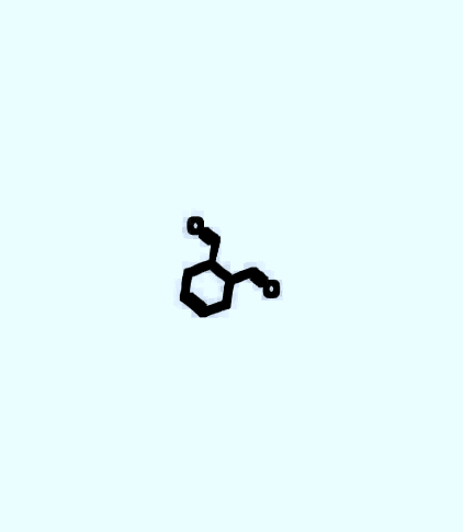 O=CC1CC=CC[C@H]1C=O